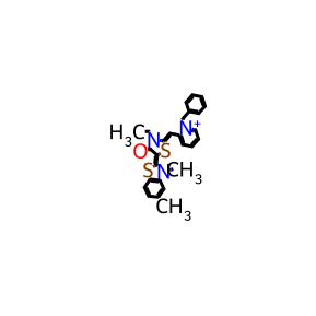 CCn1c(=O)/c(=C2\Sc3ccc(C)cc3N2C)s/c1=C\c1cccc[n+]1Cc1ccccc1